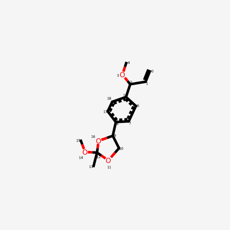 C=CC(OC)c1ccc(C2COC(C)(OC)O2)cc1